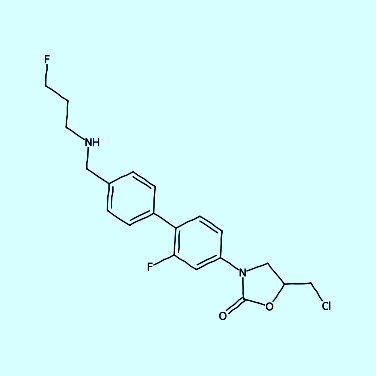 O=C1OC(CCl)CN1c1ccc(-c2ccc(CNCCCF)cc2)c(F)c1